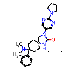 CN(C)[C@]1(c2ccccc2)CC[C@@]2(CC1)CN(c1cnc(N3CCCC3)nc1)C(=O)N2